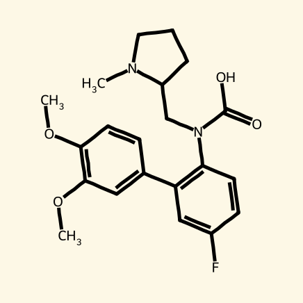 COc1ccc(-c2cc(F)ccc2N(CC2CCCN2C)C(=O)O)cc1OC